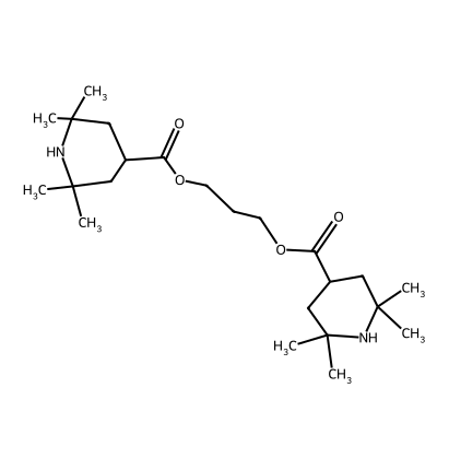 CC1(C)CC(C(=O)OCCCOC(=O)C2CC(C)(C)NC(C)(C)C2)CC(C)(C)N1